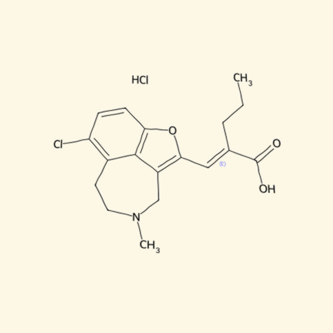 CCC/C(=C\c1oc2ccc(Cl)c3c2c1CN(C)CC3)C(=O)O.Cl